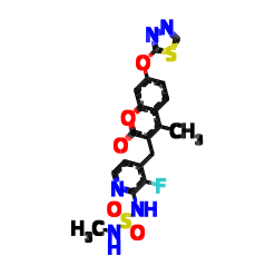 CNS(=O)(=O)Nc1nccc(Cc2c(C)c3ccc(Oc4nncs4)cc3oc2=O)c1F